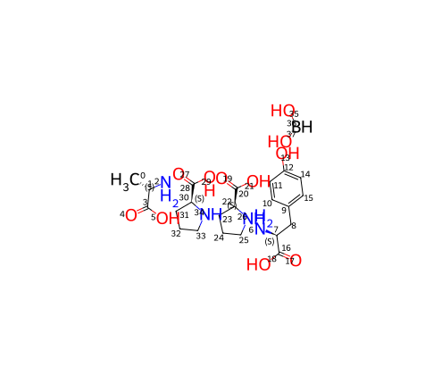 C[C@H](N)C(=O)O.N[C@@H](Cc1ccc(O)cc1)C(=O)O.O=C(O)[C@@H]1CCCN1.O=C(O)[C@@H]1CCCN1.OBO